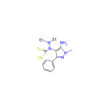 CCN(CC)N(C(=S)S)c1c(-c2ccccc2)nn(C)c1N